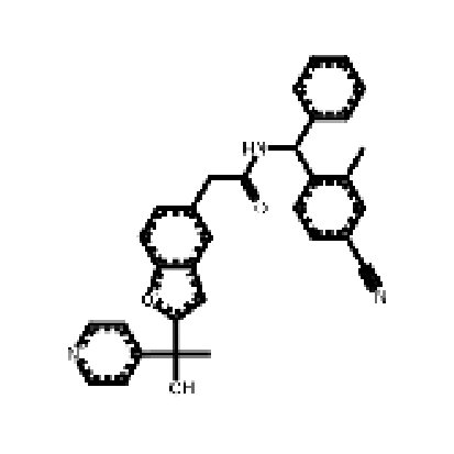 Cc1cc(C#N)ccc1C(NC(=O)Cc1ccc2oc(C(C)(O)c3ccncc3)cc2c1)c1ccccc1